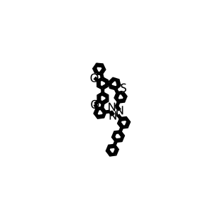 C1=C(c2ccccc2)CCC(c2cccc(-c3nc(-c4ccc5sc6ccccc6c5c4)nc(-c4cccc5oc6cc(-c7ccc8c(c7)oc7ccccc78)ccc6c45)n3)c2)=C1